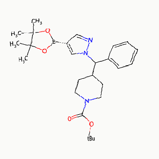 CC(C)(C)OC(=O)N1CCC(C(c2ccccc2)n2cc(B3OC(C)(C)C(C)(C)O3)cn2)CC1